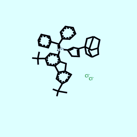 CC(C)(C)c1ccc2c(c1)-c1cc(C(C)(C)C)c[c]([Zr+2]([C]3=CC(C45CC6CC(CC(C6)C4)C5)=CC3)=[C](c3ccccc3)c3ccccc3)c1C2.[Cl-].[Cl-]